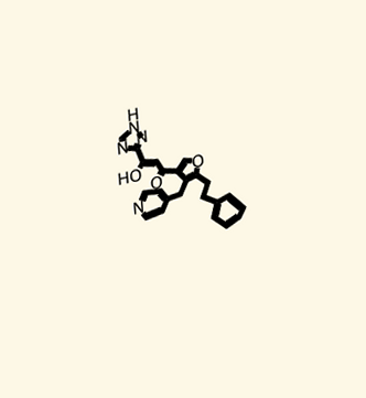 O=C(C=C(O)c1nc[nH]n1)c1coc(CCc2ccccc2)c1Cc1ccncc1